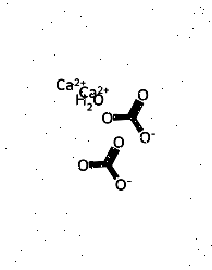 O.O=C([O-])[O-].O=C([O-])[O-].[Ca+2].[Ca+2]